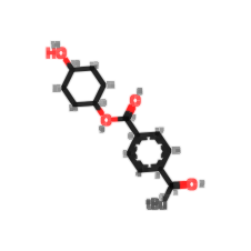 CC(C)(C)C(=O)c1ccc(C(=O)OC2CCC(O)CC2)cc1